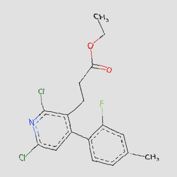 CCOC(=O)CCc1c(-c2ccc(C)cc2F)cc(Cl)nc1Cl